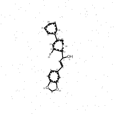 OC(/C=C/c1ccc2c(c1)OCO2)c1ccc(-c2ccccc2)cc1F